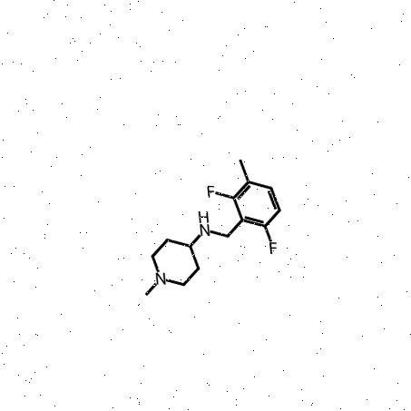 Cc1ccc(F)c(CNC2CCN(C)CC2)c1F